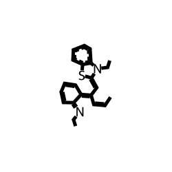 C\C=C/C(/C=C1\Sc2ccccc2N1CC)=C1/C=CC=C/C1=N\CC